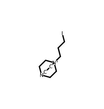 ICCC[N+]12CCN(CC1)CC2